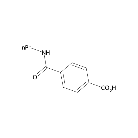 CCCNC(=O)c1ccc(C(=O)O)cc1